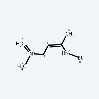 C=[N+](C)C/C=C(/C)NCC